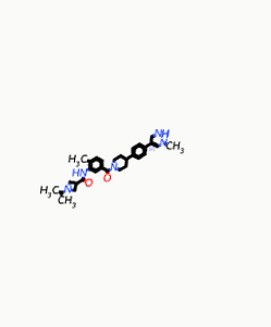 CN/C=C(\C=N)c1ccc(C2CCN(C(=O)c3ccc(C)c(NC(=O)C4CN(C(C)C)C4)c3)CC2)cc1